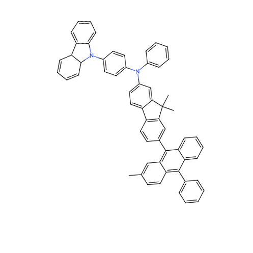 Cc1ccc2c(-c3ccccc3)c3ccccc3c(-c3ccc4c(c3)C(C)(C)c3cc(N(c5ccccc5)c5ccc(N6c7ccccc7C7C=CC=CC76)cc5)ccc3-4)c2c1